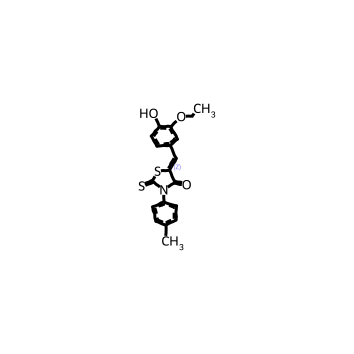 CCOc1cc(/C=C2\SC(=S)N(c3ccc(C)cc3)C2=O)ccc1O